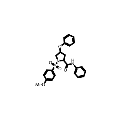 COc1ccc(S(=O)(=O)N2CC(Oc3ccccc3)CC2C(=O)Nc2ccccc2)cc1